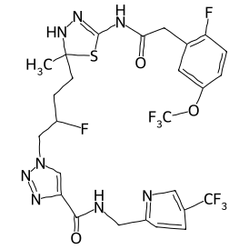 CC1(CCC(F)Cn2cc(C(=O)NCc3ccc(C(F)(F)F)cn3)nn2)NN=C(NC(=O)Cc2cc(OC(F)(F)F)ccc2F)S1